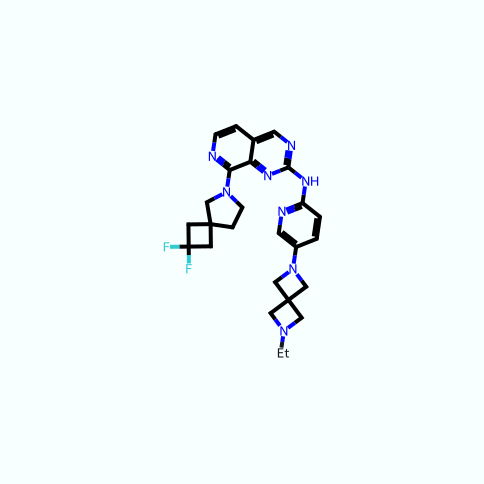 CCN1CC2(C1)CN(c1ccc(Nc3ncc4ccnc(N5CCC6(C5)CC(F)(F)C6)c4n3)nc1)C2